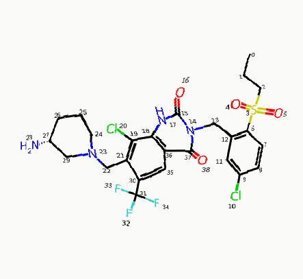 CCCS(=O)(=O)c1ccc(Cl)cc1Cn1c(=O)[nH]c2c(Cl)c(CN3CCC[C@@H](N)C3)c(C(F)(F)F)cc2c1=O